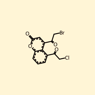 O=C(CCl)c1cccc2oc(=O)cc(C(=O)CBr)c12